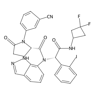 N#Cc1cccc(N2C(=O)CC[C@H]2C(=O)N(c2cccc3cn[nH]c23)[C@H](C(=O)NC2CC(F)(F)C2)c2ccccc2I)c1